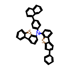 c1ccc(-c2ccc3c(c2)sc2c(N(c4ccc(-c5cccc6ccccc56)cc4)c4cccc5c4sc4ccccc45)cccc23)cc1